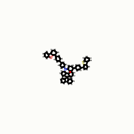 c1ccc(C2(c3ccccc3)c3ccccc3-c3c(N(c4ccc(-c5ccc(-c6cccc7c6oc6ccccc67)cc5)cc4)c4ccc(-c5ccc(-c6cccc7c6sc6ccccc67)cc5)cc4)cccc32)cc1